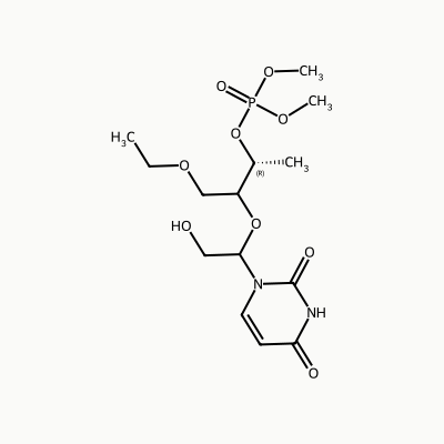 CCOCC(OC(CO)n1ccc(=O)[nH]c1=O)[C@@H](C)OP(=O)(OC)OC